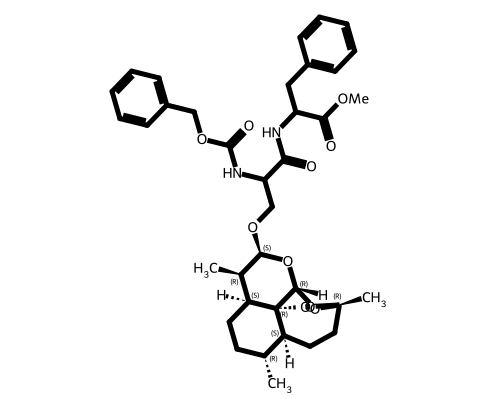 COC(=O)C(Cc1ccccc1)NC(=O)C(CO[C@H]1O[C@@H]2O[C@@]3(C)CC[C@H]4[C@H](C)CC[C@@H]([C@H]1C)[C@@]24OO3)NC(=O)OCc1ccccc1